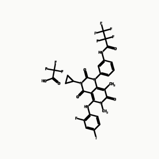 Cc1c(=O)n(C)c(Nc2ccc(I)cc2F)c2c(=O)n(C3CC3)c(=O)n(-c3cccc(NC(=O)C(F)(F)C(F)(F)F)c3)c12.O=C(O)C(F)(F)F